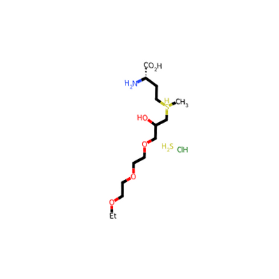 CCOCCOCCOCC(O)C[SH](C)CC[C@H](N)C(=O)O.Cl.S